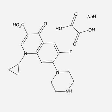 O=C(O)C(=O)O.O=C(O)c1cn(C2CC2)c2cc(N3CCNCC3)c(F)cc2c1=O.[NaH]